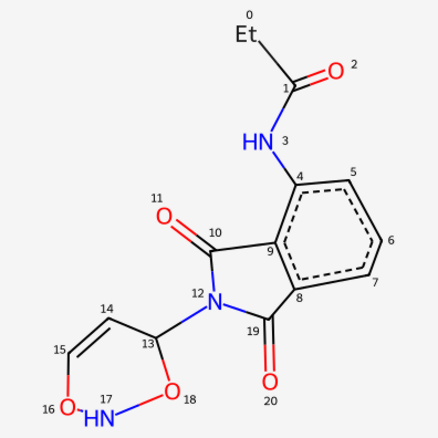 CCC(=O)Nc1cccc2c1C(=O)N(C1C=CONO1)C2=O